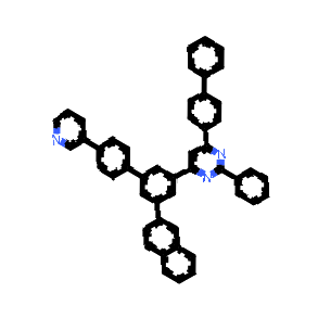 c1ccc(-c2ccc(-c3cc(-c4cc(-c5ccc(-c6cccnc6)cc5)cc(-c5ccc6ccccc6c5)c4)nc(-c4ccccc4)n3)cc2)cc1